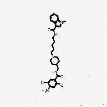 COc1cc(N)c(Cl)cc1C(=O)NCC1CCN(CCCCCNC(=O)c2cn(C)c3ccccc23)CC1